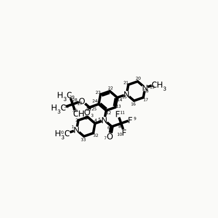 CN1CCC(N(C(=O)C(F)(F)F)c2cc(N3CCN(C)CC3)ccc2C(=O)OC(C)(C)C)CC1